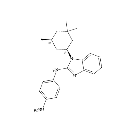 CC(=O)Nc1ccc(Nc2nc3ccccc3n2[C@H]2C[C@@H](C)CC(C)(C)C2)cc1